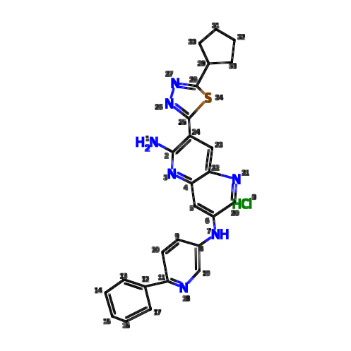 Cl.Nc1nc2cc(Nc3ccc(-c4ccccc4)nc3)cnc2cc1-c1nnc(C2CCCC2)s1